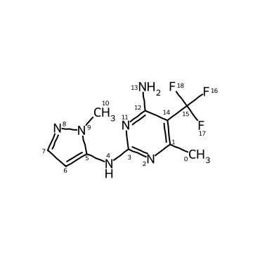 Cc1nc(Nc2ccnn2C)nc(N)c1C(F)(F)F